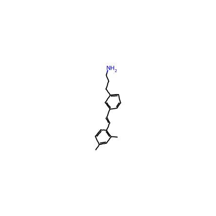 Cc1ccc(C=Cc2cccc(CCCN)c2)c(C)c1